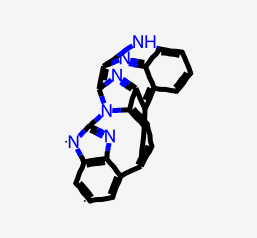 [c]1cc2c3nc(n4c5ccc(c3c1)c1c3cccc6[nH]c(nc63)c4nc15)[N]2